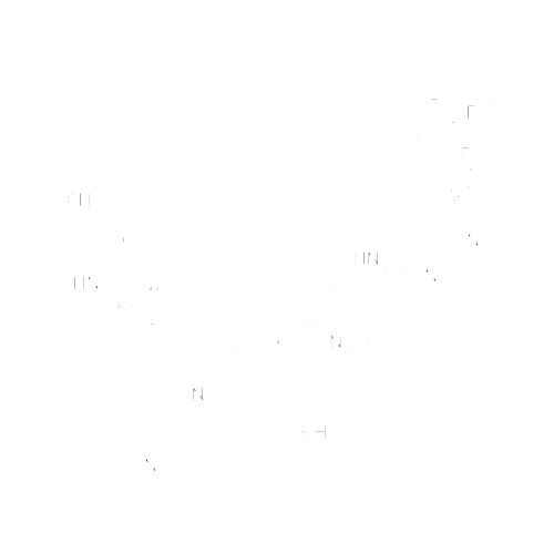 CCC(=O)NC12CC(CCn3c(C#N)cc4c(C)c(CN5CCC(Nc6ncnc7sc(CC(F)(F)F)cc67)CC5)ccc43)(C1)C2